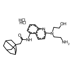 Cl.Cl.NCCN(CCO)c1ccc2c(NC(=O)CC34CC5CC(CC(C5)C3)C4)cccc2n1